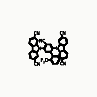 N#Cc1ccc2c3ccc(C#N)cc3n(-c3cc(-c4ccccc4C(F)(F)F)c(-n4c5cc(C#N)ccc5c5ccc(C#N)cc54)cc3C#N)c2c1